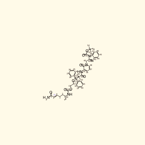 C[C@@H](CC/C=C/C(N)=O)NC(=O)OCCO[Si](c1ccccc1)(c1ccccc1)C(C)(C)C(=O)Nc1cccn(Cc2nc3ccccc3n2C(=O)OC(C)(C)C)c1=O